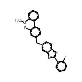 Fc1ccccc1-c1nc2ccn(Cc3ccc(-c4ccccc4OC(F)(F)F)c(F)c3)cc-2n1